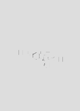 CCCOC(OC)C1CCC(C)=CC1C